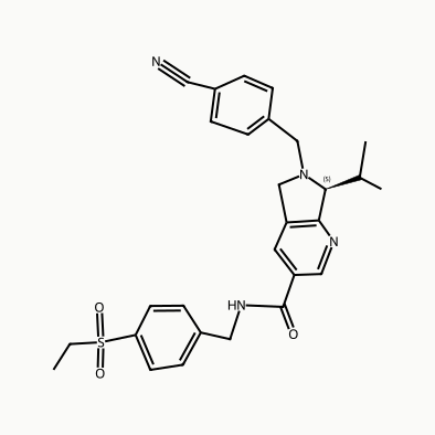 CCS(=O)(=O)c1ccc(CNC(=O)c2cnc3c(c2)CN(Cc2ccc(C#N)cc2)[C@H]3C(C)C)cc1